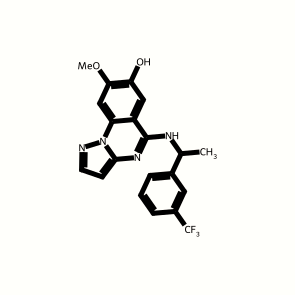 COc1cc2c(cc1O)c(NC(C)c1cccc(C(F)(F)F)c1)nc1ccnn12